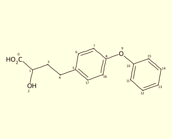 O=C(O)C(O)CCc1ccc(Oc2ccccc2)cc1